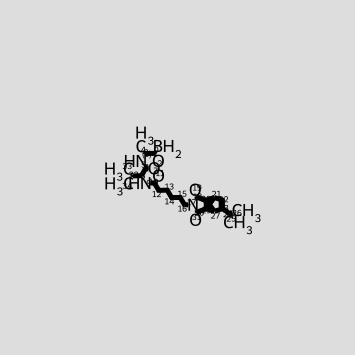 BC(=O)[C@H](C)NC(=O)C(NC(=O)CCCCCN1C(=O)C2C3C=C(C(C)C)C(C3)C2C1=O)C(C)C